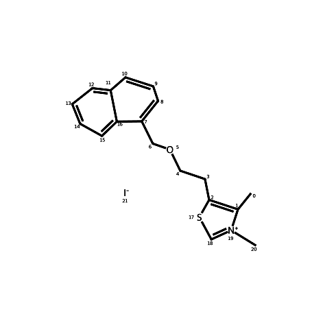 Cc1c(CCOCc2cccc3ccccc23)sc[n+]1C.[I-]